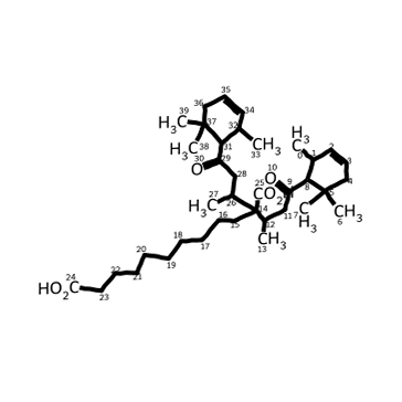 CC1C=CCC(C)(C)C1C(=O)CC(C)C(CCCCCCCCCC(=O)O)(C(=O)O)C(C)CC(=O)C1C(C)C=CCC1(C)C